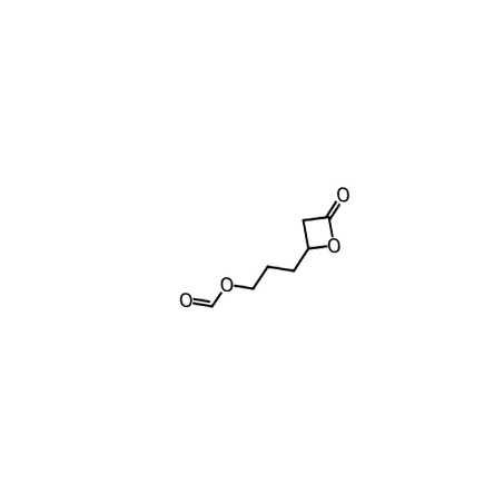 O=COCCCC1CC(=O)O1